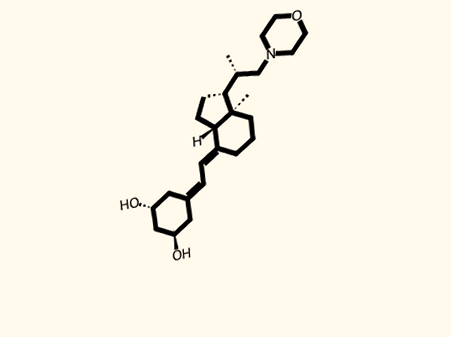 C[C@H](CN1CCOCC1)[C@H]1CC[C@H]2/C(=C/C=C3C[C@@H](O)C[C@H](O)C3)CCC[C@]12C